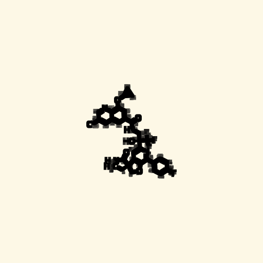 CC[C@]1(C(N)=O)COc2c1cc([C@@](O)(CNC(=O)c1cc(OC3CC3)c3ncc(Cl)cc3c1)C(F)(F)F)nc2-c1ccc(F)cc1